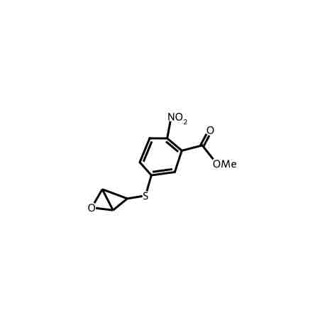 COC(=O)c1cc(SC2C3OC32)ccc1[N+](=O)[O-]